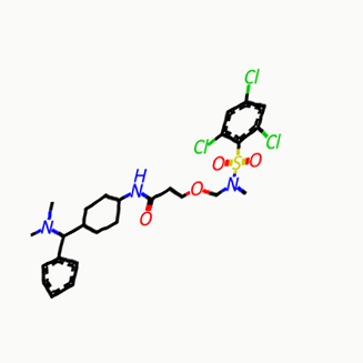 CN(C)C(c1ccccc1)C1CCC(NC(=O)CCOCN(C)S(=O)(=O)c2c(Cl)cc(Cl)cc2Cl)CC1